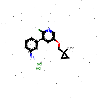 CNC1(COc2cnc(F)c(-c3cccc(N)c3)c2)CC1.Cl.Cl